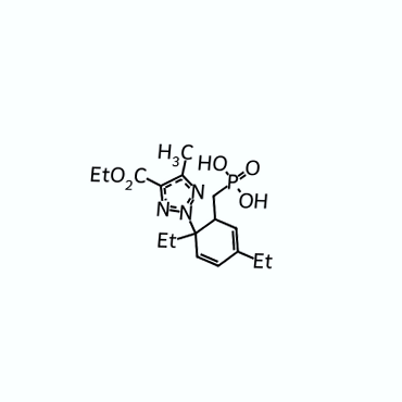 CCOC(=O)c1nn(C2(CC)C=CC(CC)=CC2CP(=O)(O)O)nc1C